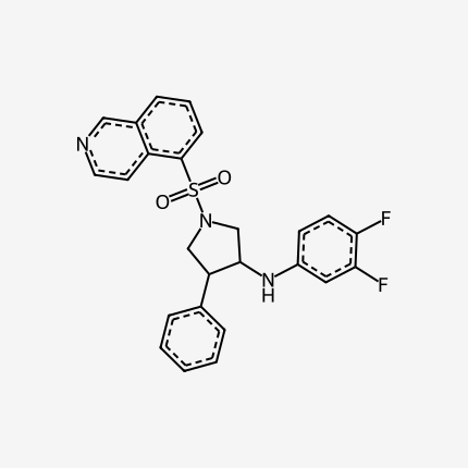 O=S(=O)(c1cccc2cnccc12)N1CC(Nc2ccc(F)c(F)c2)C(c2ccccc2)C1